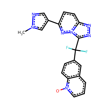 Cn1cc(-c2ccc3nnc(C(F)(F)c4ccc5c(ccc[n+]5[O-])c4)n3n2)cn1